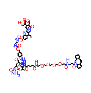 CCc1c2c(nc3cc(OC(=O)N(C)CCN(C)C(=O)OCc4ccc(NC(=O)[C@H](CCCNC(N)=O)NC(=O)[C@@H](NC(=O)CCCC(=O)NCCOCCOCCOCCOCCC(=O)NCCC(=O)N5Cc6ccccc6C#Cc6ccccc65)C(C)C)cc4)ccc13)-c1cc3c(c(=O)n1C2)COC(=O)[C@]3(O)CC